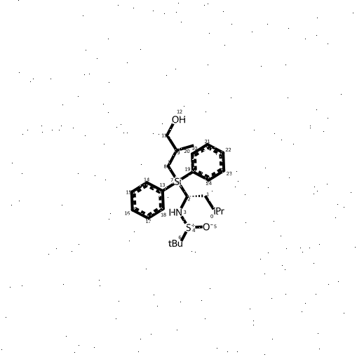 CC(C)C[C@H](N[S+]([O-])C(C)(C)C)[Si](CC(C)CO)(c1ccccc1)c1ccccc1